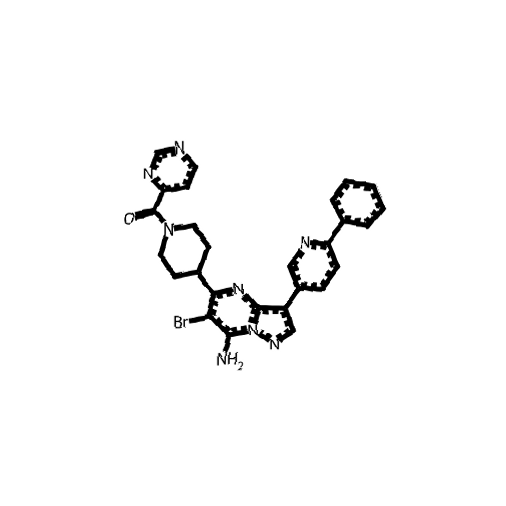 Nc1c(Br)c(C2CCN(C(=O)c3ccncn3)CC2)nc2c(-c3ccc(-c4ccccc4)nc3)cnn12